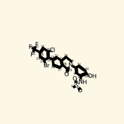 CS(=O)(=O)Nc1cc(N2CCc3cc(-c4c(Cl)cc(C(F)(F)F)cc4Br)ccc3C2=O)ccc1O